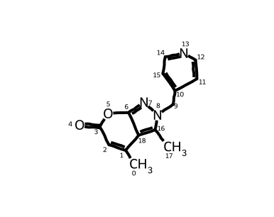 Cc1cc(=O)oc2nn(Cc3ccncc3)c(C)c12